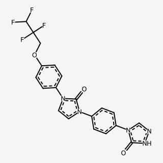 O=c1[nH]ncn1-c1ccc(-n2ccn(-c3ccc(OCC(F)(F)C(F)F)cc3)c2=O)cc1